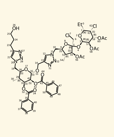 CC[C@H]1O[C@H](O[C@]2(CCl)O[C@H](Cn3cc(CO[C@H]4O[C@H](Cn5cc(CCCO)nn5)[C@@H](C)[C@H](OC(=O)c5ccccc5)[C@@H]4OC(=O)c4ccccc4)nn3)[C@@H](C)[C@@H]2OC(C)=O)[C@H](OC(C)=O)[C@@H](OC(C)=O)[C@H]1Cl